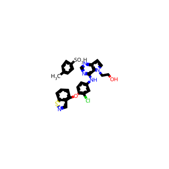 Cc1ccc(S(=O)(=O)O)cc1.OCCn1ccc2ncnc(Nc3ccc(Oc4cccc5sncc45)c(Cl)c3)c21